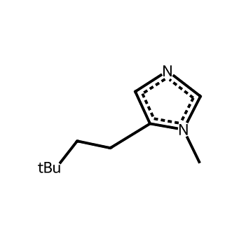 Cn1cncc1CCC(C)(C)C